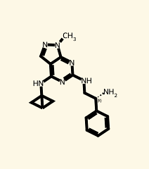 Cn1ncc2c(NC34CC3C4)nc(NC[C@H](N)c3ccccc3)nc21